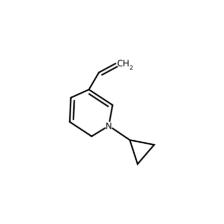 C=CC1=CN(C2CC2)CC=C1